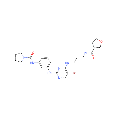 O=C(NCCCNc1nc(Nc2cccc(NC(=O)N3CCCC3)c2)ncc1Br)C1CCOC1